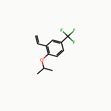 C=Cc1cc(C(F)(F)F)ccc1OC(C)C